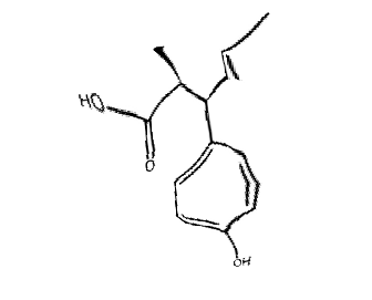 CC=C[C@@H](c1ccc(O)cc1)[C@H](C)C(=O)O